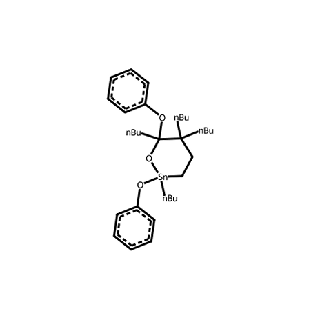 CCCCC1(CCCC)C[CH2][Sn]([CH2]CCC)([O]c2ccccc2)[O]C1(CCCC)Oc1ccccc1